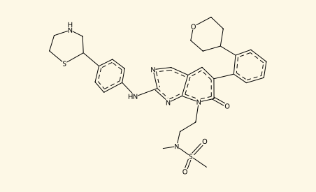 CN(CCn1c(=O)c(-c2ccccc2C2CCOCC2)cc2cnc(Nc3ccc(C4CNCCS4)cc3)nc21)S(C)(=O)=O